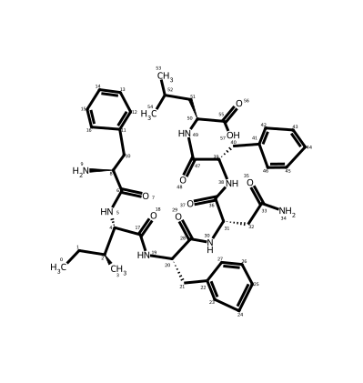 CC[C@H](C)[C@H](NC(=O)[C@@H](N)Cc1ccccc1)C(=O)N[C@@H](Cc1ccccc1)C(=O)N[C@@H](CC(N)=O)C(=O)N[C@@H](Cc1ccccc1)C(=O)N[C@@H](CC(C)C)C(=O)O